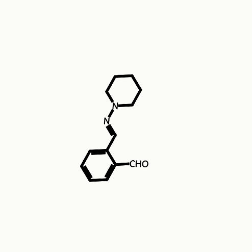 O=Cc1ccccc1C=NN1CCCCC1